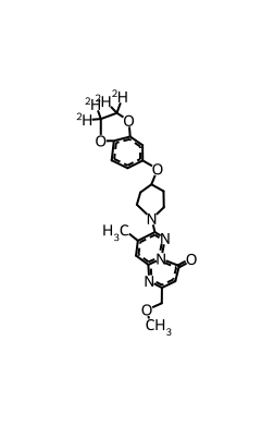 [2H]C1([2H])Oc2ccc(OC3CCN(c4nn5c(=O)cc(COC)nc5cc4C)CC3)cc2OC1([2H])[2H]